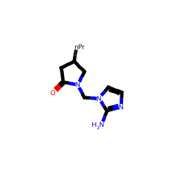 CCCC1CC(=O)N(Cn2ccnc2N)C1